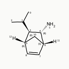 CC(C)[C@H]1[C@H](N)[C@@H]2C=C[C@H]1C2